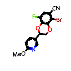 COc1ccc(C2COc3c(Br)c(C#N)cc(F)c3O2)cn1